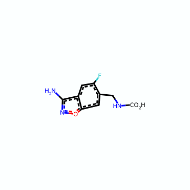 Nc1noc2cc(CNC(=O)O)c(F)cc12